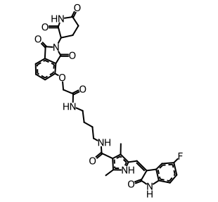 Cc1[nH]c(/C=C2\C(=O)Nc3ccc(F)cc32)c(C)c1C(=O)NCCCCNC(=O)COc1cccc2c1C(=O)N(C1CCC(=O)NC1=O)C2=O